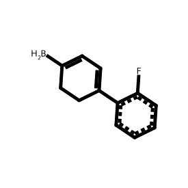 BC1=CC=C(c2ccccc2F)CC1